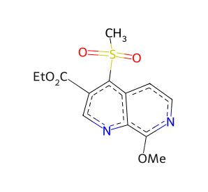 CCOC(=O)c1cnc2c(OC)nccc2c1S(C)(=O)=O